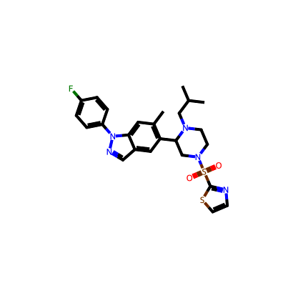 Cc1cc2c(cnn2-c2ccc(F)cc2)cc1C1CN(S(=O)(=O)c2nccs2)CCN1CC(C)C